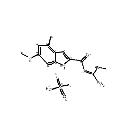 CNC(N)=NC(=O)c1cc2c(C)cc(OC)cc2[nH]1.CS(=O)(=O)O